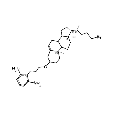 CC(C)CCC[C@@H](C)[C@H]1CCC2C3CC=C4CC(OCCCc5c(N)cccc5N)CC[C@]4(C)C3CC[C@@]21C